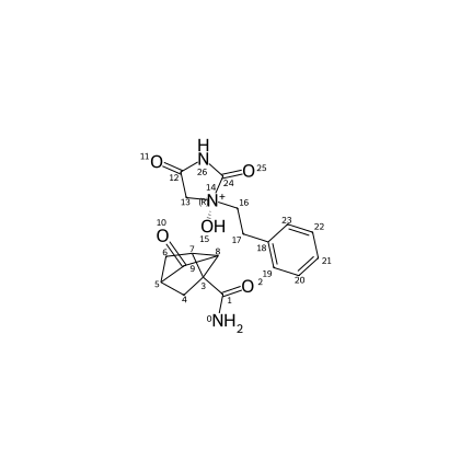 NC(=O)C12CC3CC1C2C3=O.O=C1C[N@+](O)(CCc2ccccc2)C(=O)N1